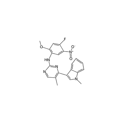 COc1cc(F)c([N+](=O)[O-])cc1Nc1ncc(C)c(-c2cn(C)c3ccccc23)n1